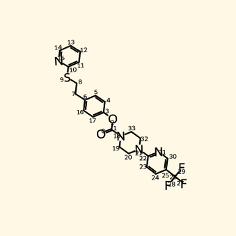 O=C(Oc1ccc(CCSc2ccccn2)cc1)N1CCN(c2ccc(C(F)(F)F)cn2)CC1